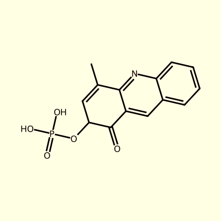 CC1=CC(OP(=O)(O)O)C(=O)c2cc3ccccc3nc21